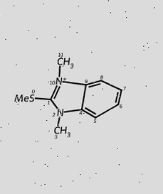 CSc1n(C)c2ccccc2[n+]1C